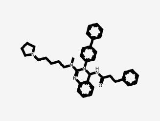 CN(CCCCCN1CCCC1)C1=Nc2ccccc2C(NC(=O)CCc2ccccc2)N1c1ccc(-c2ccccc2)cc1